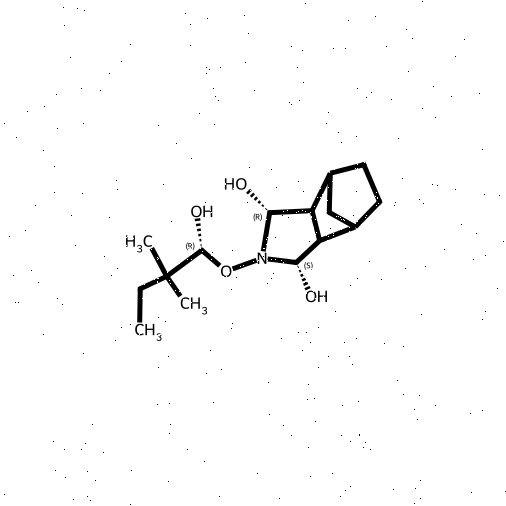 CCC(C)(C)[C@H](O)ON1[C@H](O)C2C3CCC(C3)C2[C@@H]1O